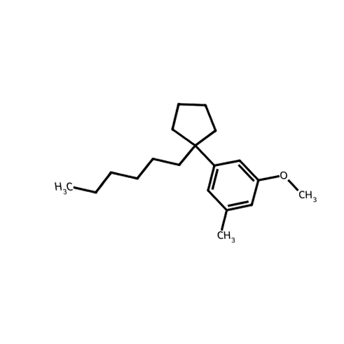 CCCCCCC1(c2cc(C)cc(OC)c2)CCCC1